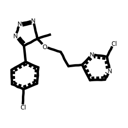 CC1(OCCc2ccnc(Cl)n2)N=NN=C1c1ccc(Cl)cc1